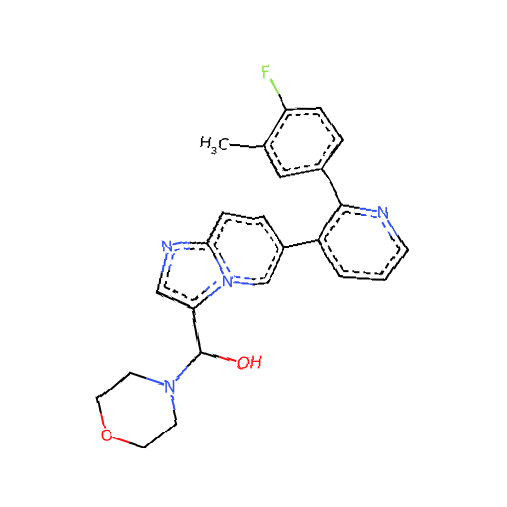 Cc1cc(-c2ncccc2-c2ccc3ncc(C(O)N4CCOCC4)n3c2)ccc1F